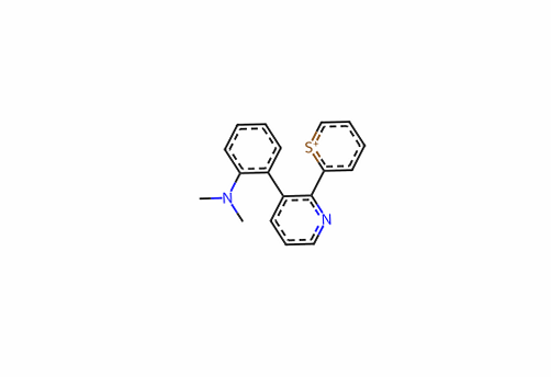 CN(C)c1ccccc1-c1cccnc1-c1cccc[s+]1